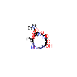 CCN(CC)CCS(=O)(=O)[C@H]1CN2C[C@H]1C(=O)O[C@H](C(C)C)[C@H](C)/C=C/C(=O)NC/C=C/C(C)=C/[C@@H](O)CC(=O)Cc1nc(co1)C2=O